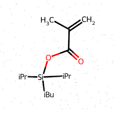 C=C(C)C(=O)O[Si](C(C)C)(C(C)C)C(C)CC